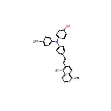 N#Cc1cccc2c(C#N)c(C=Cc3ccc(N(c4ccc(O)cc4)c4ccc(C=O)cc4)cc3)ccc12